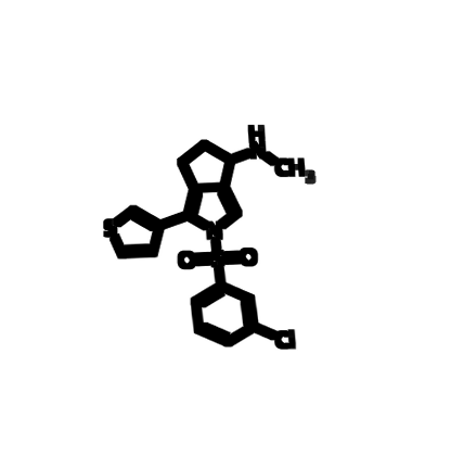 CNC1CCc2c1cn(S(=O)(=O)c1cccc(Cl)c1)c2-c1ccsc1